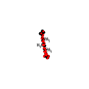 CC1(C)c2cc(-c3ccc4c(c3)C(C)(C)c3cc(-c5ccc6c(c5)c5ccccc5n6-c5cccc6ccccc56)ccc3-4)ccc2-c2ccc(-c3ccc4c(c3)C(C)(C)c3cc(-c5ccc6c(c5)c5ccccc5n6-c5cccc6ccccc56)ccc3-4)cc21